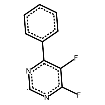 Fc1n[c]nc(-c2ccccc2)c1F